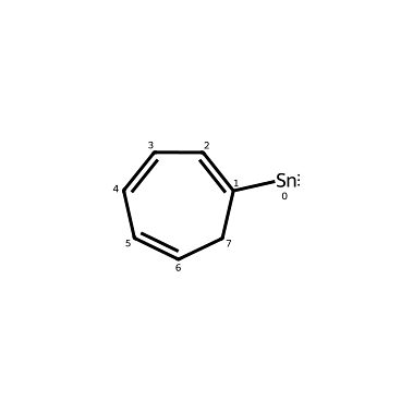 [Sn][C]1=CC=CC=CC1